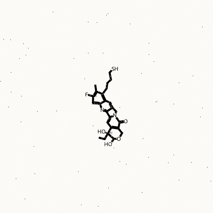 CC[C@]1(O)c2cc3n(c(=O)c2COC1O)Cc1cc2c(CCCCS)c(C)c(F)cc2nc1-3